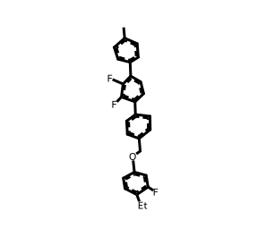 CCc1ccc(OCc2ccc(-c3ccc(-c4ccc(C)cc4)c(F)c3F)cc2)cc1F